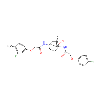 Cc1ccc(OCC(=O)NC23CCC(NC(=O)COc4ccc(F)cc4)(CC2)[C@@H](O)C3)cc1F